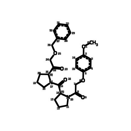 COc1ccc(OCC(=O)N2CCC[C@H]2C(=O)N2CCC[C@H]2C(=O)COCc2ccccc2)cc1